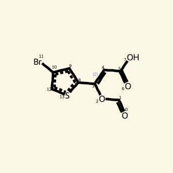 O=CO/C(=C\C(=O)O)c1cc(Br)cs1